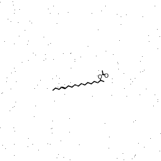 CCCC=CCCCCCCCCCCC(C)OC(C)=O